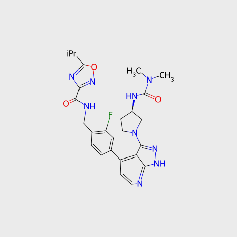 CC(C)c1nc(C(=O)NCc2ccc(-c3ccnc4[nH]nc(N5CC[C@@H](NC(=O)N(C)C)C5)c34)cc2F)no1